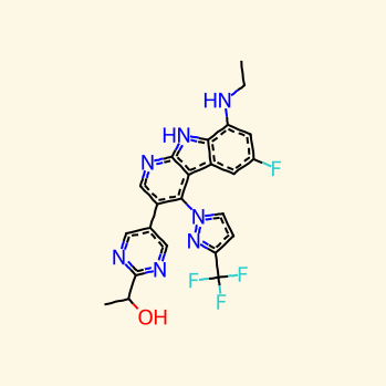 CCNc1cc(F)cc2c1[nH]c1ncc(-c3cnc(C(C)O)nc3)c(-n3ccc(C(F)(F)F)n3)c12